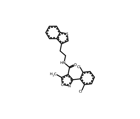 Cc1onc(-c2c(Cl)cccc2Cl)c1C(=O)NCCc1csc2ccccc12